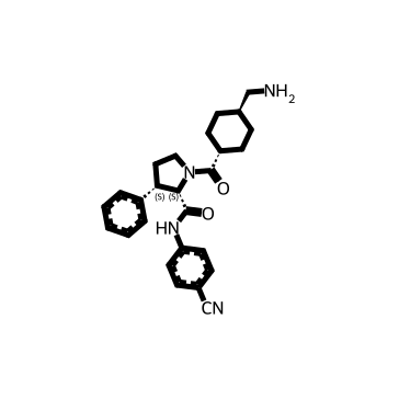 N#Cc1ccc(NC(=O)[C@@H]2[C@H](c3ccccc3)CCN2C(=O)[C@H]2CC[C@H](CN)CC2)cc1